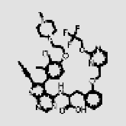 CC#Cc1sc2ncnc(NC(Cc3ccccc3OCc3ccnc(OCC(F)(F)F)n3)C(=O)O)c2c1-c1ccc(OCCN2CCN(C)CC2)c(Cl)c1C